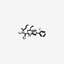 CCCC(C)N(CC)C(=O)c1cc(CC)n2nc(-c3ccccc3F)cc2n1